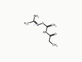 C=C(NC(=O)CC)S/N=C(/C)N